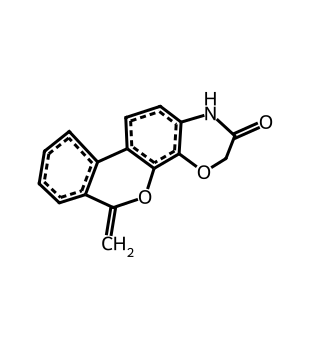 C=C1Oc2c(ccc3c2OCC(=O)N3)-c2ccccc21